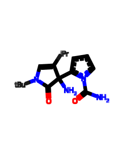 CC(C)C1=CN(C(C)(C)C)C(=O)C1(N)c1cccn1C(N)=O